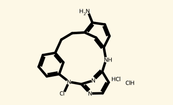 Cl.Cl.Nc1ccc2cc1CCc1cccc(c1)N(Cl)c1nccc(n1)N2